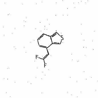 FC(F)=Cc1cccc2[c]scc12